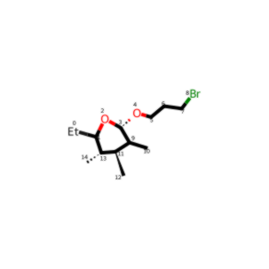 CCC1O[C@H](OCCCBr)C(C)[C@@H](C)[C@@H]1C